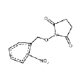 O=C1CCC(=O)N1OCc1ccccc1[N+](=O)[O-]